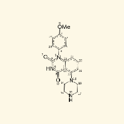 COc1ccc(-n2c(=O)[nH]c(=O)c3c(N4CCNCC4)cccc32)cc1